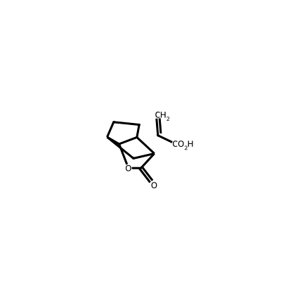 C=CC(=O)O.O=C1OC2C3CCC2C1C3